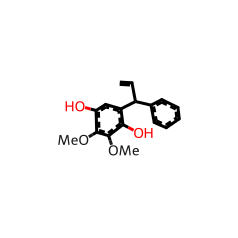 C=CC(c1ccccc1)c1cc(O)c(OC)c(OC)c1O